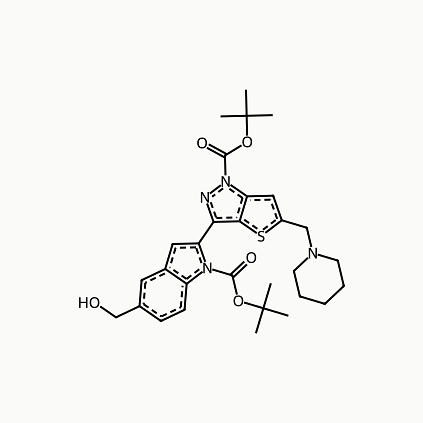 CC(C)(C)OC(=O)n1nc(-c2cc3cc(CO)ccc3n2C(=O)OC(C)(C)C)c2sc(CN3CCCCC3)cc21